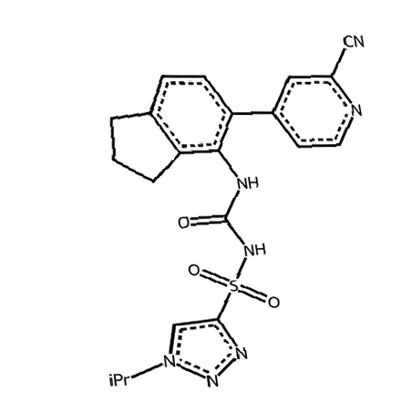 CC(C)n1cc(S(=O)(=O)NC(=O)Nc2c(-c3ccnc(C#N)c3)ccc3c2CCC3)nn1